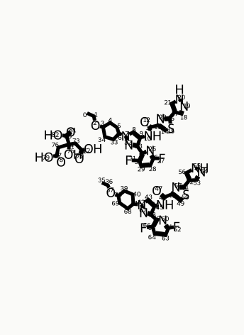 CCOC1CCC(n2cc(NC(=O)c3csc(-c4cn[nH]c4)n3)c(-c3nc(F)ccc3F)n2)CC1.CCOC1CCC(n2cc(NC(=O)c3csc(-c4cn[nH]c4)n3)c(-c3nc(F)ccc3F)n2)CC1.O=C(O)CC(O)(CC(=O)O)C(=O)O